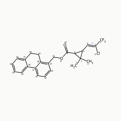 CC1(C)C(/C=C(\Cl)C(F)(F)F)C1C(=O)OCc1cccc2c1CCc1ccccc1-2